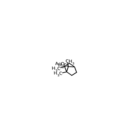 CC(=O)OC1(C)CC2CCC1(C)C2(C)C